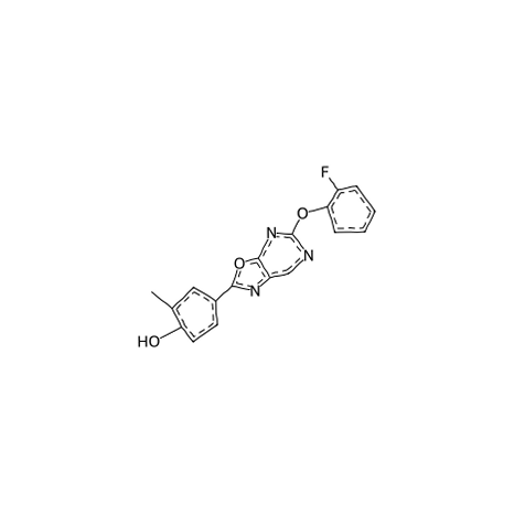 Cc1cc(-c2nc3cnc(Oc4ccccc4F)nc3o2)ccc1O